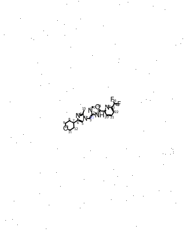 C=N/C(=C\n1cc(C2CCOCC2)nc1C)NC(=O)c1cccc(C(F)F)n1